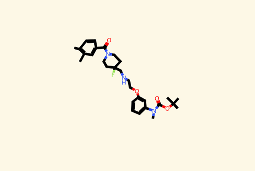 Cc1ccc(C(=O)N2CCC(F)(CNCCOc3cccc(N(C)C(=O)OC(C)(C)C)c3)CC2)cc1C